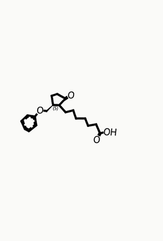 O=C(O)CCCCCCC1C(=O)CC[C@@H]1COc1ccccc1